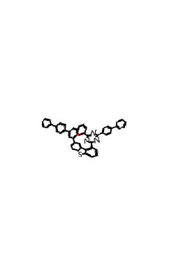 c1ccc(-c2ccc(-c3cccc(-c4ccc5sc6cccc(-c7nc(-c8ccccc8)nc(-c8ccc(-c9ccccc9)cc8)n7)c6c5c4)c3)cc2)cc1